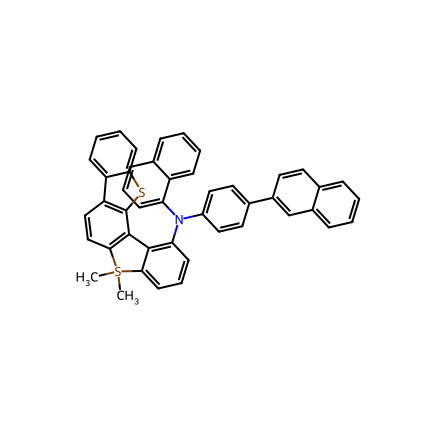 CS1(C)c2cccc(N(c3ccc(-c4ccc5ccccc5c4)cc3)c3cccc4ccccc34)c2-c2c1ccc1c2sc2ccccc21